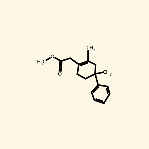 COC(=O)CC1=C(C)CC(C)(c2ccccc2)CC1